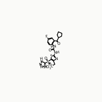 O=C(O)Cc1nc(NC(=O)Nc2ccc(F)cc2C(=O)C2CCCC2)sc1S(=O)(=O)c1nnn[nH]1